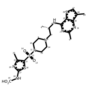 Cc1nc(N[C@@H](C)CN2CCN(S(=O)(=O)c3sc(NC(=O)O)nc3C)CC2)c2scc(C)c2n1